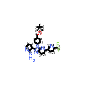 CC(C)(C)[Si](C)(C)OCc1ccc(-n2c(-c3cccnc3N)nc3ccc(-c4ccc(C(F)F)nc4)nc32)cc1